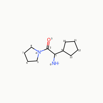 [NH]C(C(=O)N1CCCC1)C1CCCC1